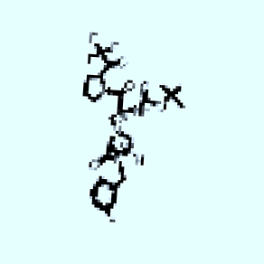 CC(C)(C)OC(=O)N[C@@H](CN1C[C@@H]2CC1C(=O)N2Cc1cccc(F)c1)C(=O)N1CCCC1C(=O)C(F)(F)F